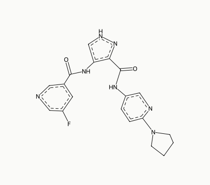 O=C(Nc1c[nH]nc1C(=O)Nc1ccc(N2CCCC2)nc1)c1cncc(F)c1